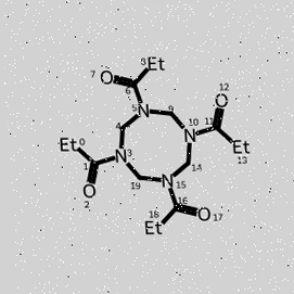 CCC(=O)N1CN(C(=O)CC)CN(C(=O)CC)CN(C(=O)CC)C1